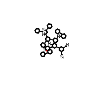 N#Cc1cc(C#N)cc(-c2ccc3c(c2)c2ccccc2n3-c2c(-c3cccc(-n4c5ccccc5c5ccccc54)c3)cc(-c3cc(-c4ccccc4)nc(-c4ccccc4)n3)cc2-c2cccc(-n3c4ccccc4c4ccccc43)c2)c1